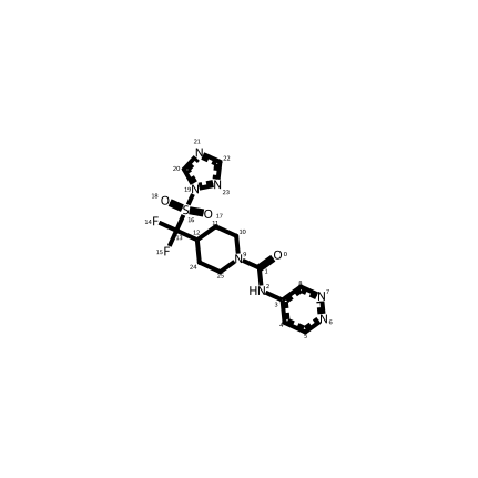 O=C(Nc1ccnnc1)N1CCC(C(F)(F)S(=O)(=O)n2cncn2)CC1